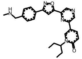 CCC(CC)n1cc(-c2cncc(-c3cc(-c4ccc(CNC)cc4)no3)n2)ccc1=O